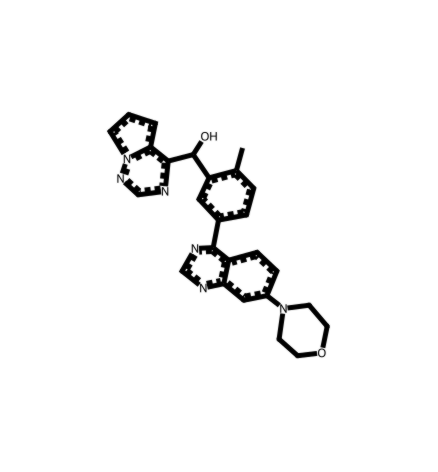 Cc1ccc(-c2ncnc3cc(N4CCOCC4)ccc23)cc1C(O)c1ncnn2cccc12